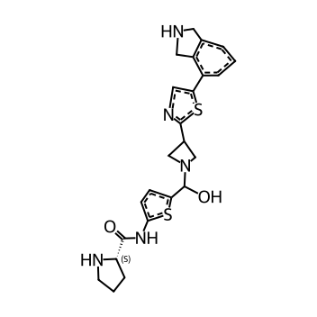 O=C(Nc1ccc(C(O)N2CC(c3ncc(-c4cccc5c4CNC5)s3)C2)s1)[C@@H]1CCCN1